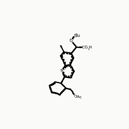 CC(=O)OCC1CCC=CC1c1ccc2cc(C(OC(C)(C)C)C(=O)O)c(C)cc2n1